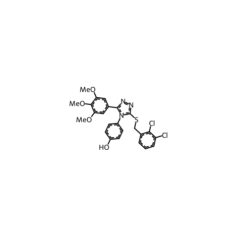 COc1cc(-c2nnc(SCc3cccc(Cl)c3Cl)n2-c2ccc(O)cc2)cc(OC)c1OC